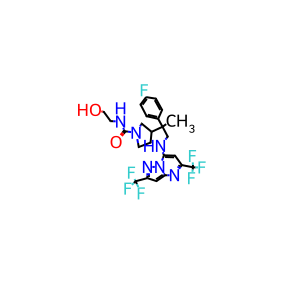 CC(CNc1cc(C(F)(F)F)nc2cc(C(F)(F)F)nn12)(c1ccc(F)cc1)C1CCN(C(=O)NCCO)C1